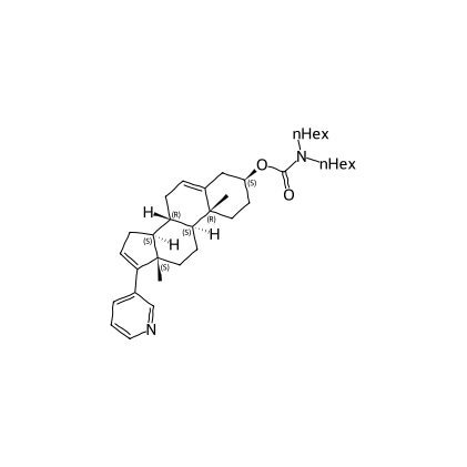 CCCCCCN(CCCCCC)C(=O)O[C@H]1CC[C@@]2(C)C(=CC[C@@H]3[C@@H]2CC[C@]2(C)C(c4cccnc4)=CC[C@@H]32)C1